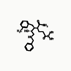 CCCN(CCC)C(=O)CCC(C(N)=O)[C@H](Cc1cccc(C)c1)[C@@H](O)CNCc1ccccc1